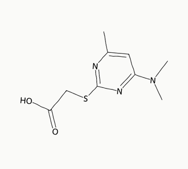 Cc1cc(N(C)C)nc(SCC(=O)O)n1